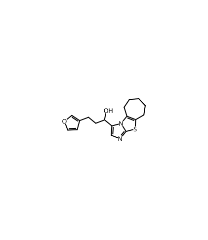 OC(CCc1ccoc1)c1cnc2sc3c(n12)CCCCC3